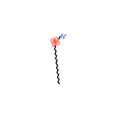 CCCCCCCCCCCCCCCCCOP(=O)([O-])OCC[N+](C)(C)C